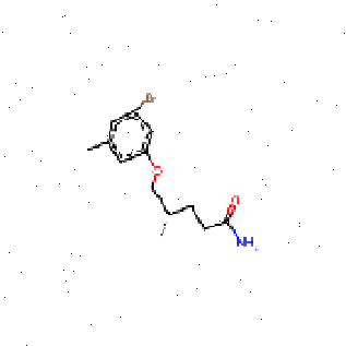 Cc1cc(Br)cc(OC[C@@H](C)CCC(N)=O)c1